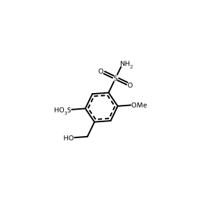 COc1cc(CO)c(S(=O)(=O)O)cc1S(N)(=O)=O